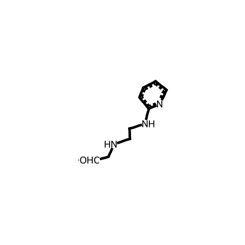 O=[C]CNCCNc1ccccn1